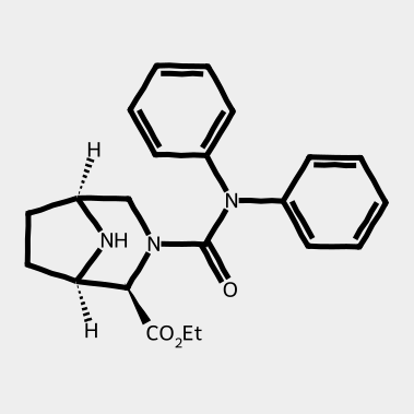 CCOC(=O)[C@H]1[C@H]2CC[C@@H](CN1C(=O)N(c1ccccc1)c1ccccc1)N2